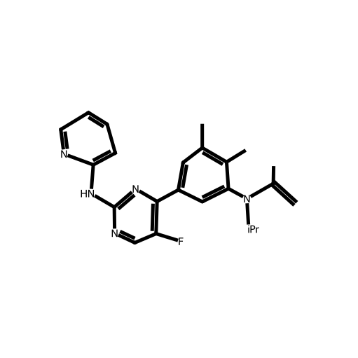 C=C(C)N(c1cc(-c2nc(Nc3ccccn3)ncc2F)cc(C)c1C)C(C)C